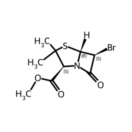 COC(=O)[C@@H]1N2C(=O)[C@H](Br)[C@H]2SC1(C)C